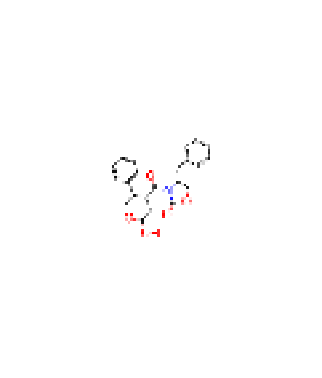 CC(c1ccccc1)C(CC(=O)O)C(=O)N1C(=O)OC[C@H]1Cc1ccccc1